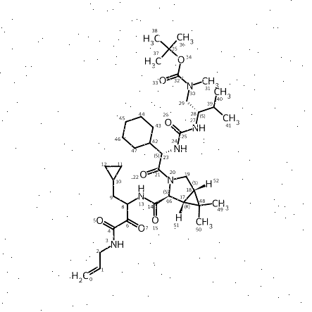 C=CCNC(=O)C(=O)C(CC1CC1)NC(=O)[C@@H]1[C@@H]2[C@H](CN1C(=O)[C@@H](NC(=O)N[C@H](CN(C)C(=O)OC(C)(C)C)C(C)C)C1CCCCC1)C2(C)C